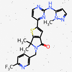 Cn1nccc1Nc1nccc(-c2cc3c(s2)C(C)(C)N(Cc2ccc(C(F)(F)F)nc2)C3=O)n1